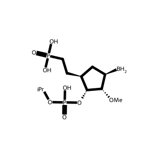 B[C@@H]1C[C@H](CCP(=O)(O)O)[C@@H](OP(=O)(O)OC(C)C)[C@H]1OC